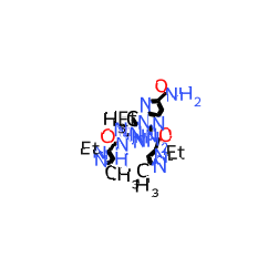 CC/N=C(/NC(=O)c1cc(C)nn1CC)N(N)C(C)n1c(NC(=O)c2cc(C)nn2CC)nc2cc(C(N)=O)cnc21